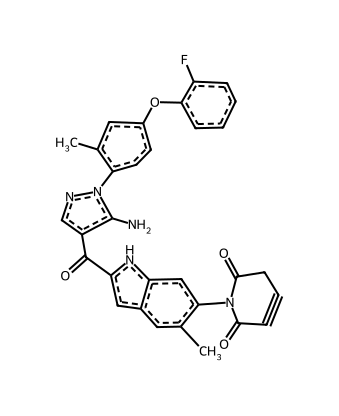 Cc1cc2cc(C(=O)c3cnn(-c4ccc(Oc5ccccc5F)cc4C)c3N)[nH]c2cc1N1C(=O)C#CCC1=O